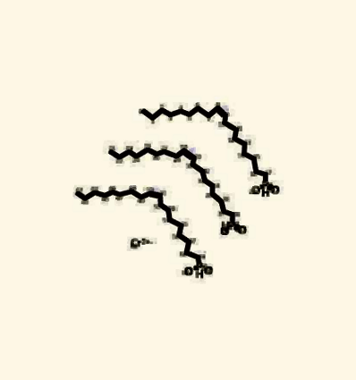 CCCCCCCC/C=C\CCCCCCCC[PH](=O)[O-].CCCCCCCC/C=C\CCCCCCCC[PH](=O)[O-].CCCCCCCC/C=C\CCCCCCCC[PH](=O)[O-].[Cr+3]